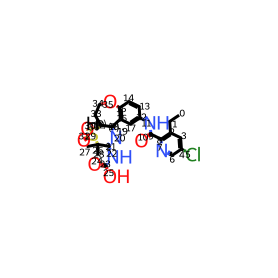 CCc1cc(Cl)cnc1C(=O)Nc1ccc2c(c1)[C@@]1(C)N=C(NC(=O)O)C(C)(C)S(=O)(=O)[C@@H]1CCO2